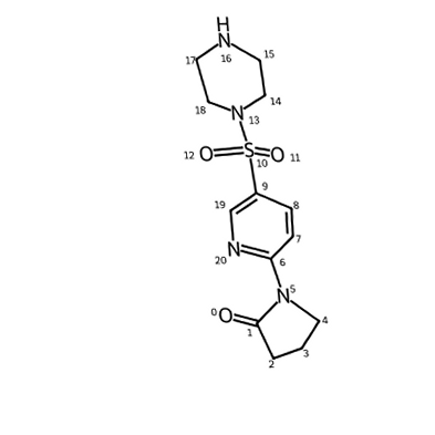 O=C1CCCN1c1ccc(S(=O)(=O)N2CCNCC2)cn1